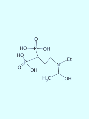 CCN(CCC(P(=O)(O)O)P(=O)(O)O)C(C)O